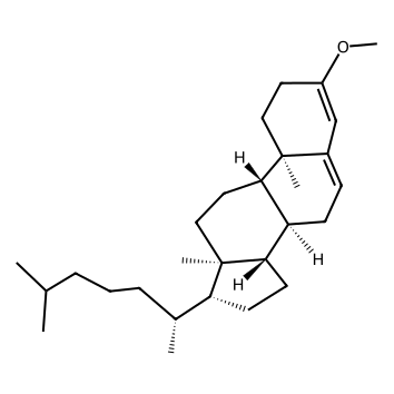 COC1=CC2=CC[C@H]3[C@@H]4CC[C@H]([C@H](C)CCCC(C)C)[C@@]4(C)CC[C@@H]3[C@@]2(C)CC1